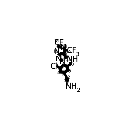 NC#Cc1cc(Cl)c2c(c1)CNc1c3c(C(F)(F)F)nc(C(F)(F)F)nc3nn1-2